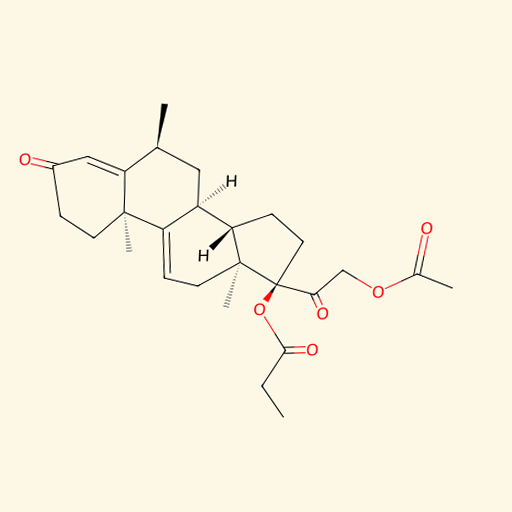 CCC(=O)O[C@]1(C(=O)COC(C)=O)CC[C@H]2[C@@H]3C[C@H](C)C4=CC(=O)CC[C@]4(C)C3=CC[C@@]21C